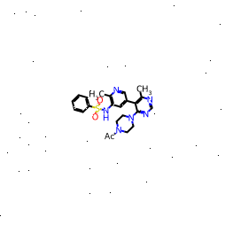 CC(=O)N1CCN(c2ncnc(C)c2-c2cnc(C)c(NS(=O)(=O)c3ccccc3)c2)CC1